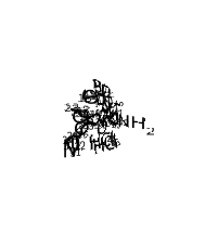 CCOC(=O)c1c(-c2cc(OC)c(Br)c(OC)c2)c2cc(OCC)c(OCc3ccncc3)cc2c(=O)n1-c1ccc(N)cc1.Cl.Cl